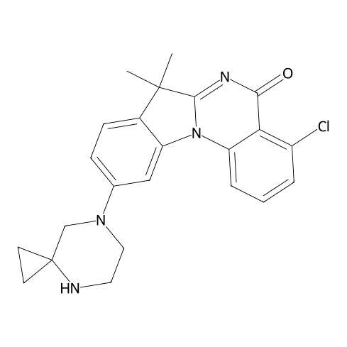 CC1(C)c2ccc(N3CCNC4(CC4)C3)cc2-n2c1nc(=O)c1c(Cl)cccc12